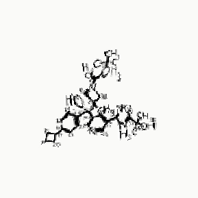 CC(C)(C)OC(=O)N1CC(C)([C@](O)(c2ccc(C3CCC3)cc2)c2cncc(-c3noc(C(C)(C)O)n3)c2)C1